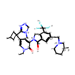 CCn1cc(C2(c3nncn3C)CC(C)C2)cc(N2Cc3c(cc(CN4CCC[C@H](C)C4)cc3C(F)(F)F)C2=O)c1=O